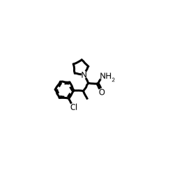 CC(c1ccccc1Cl)C(C(N)=O)N1CCCC1